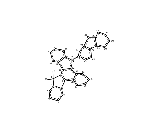 CC1(C)c2ccccc2-c2c1c1c3ccccc3n(-c3ccc4c(c3)sc3ccccc34)c1c1ccccc21